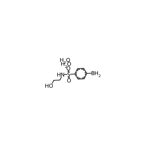 Bc1ccc(S(=O)(=O)NCCO)cc1.O.O